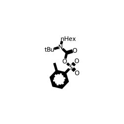 CCCCCCN(C(=O)OS(=O)(=O)c1ccccc1C)C(C)(C)C